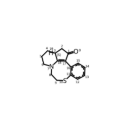 O=C1C[C@@H]2CCCN3CCSc4ccccc4C1=C23